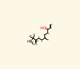 C=CC(O)CCC(C)CCC(=C)C(C)(C)BC